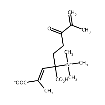 C=C(C)C(=O)CCC(C=C(C)C(=O)[O-])(C(=O)O)[N+](C)(C)C